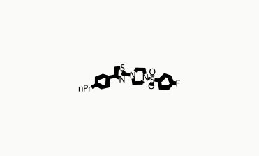 CCCc1ccc(-c2csc(N3CCN(S(=O)(=O)c4ccc(F)cc4)CC3)n2)cc1